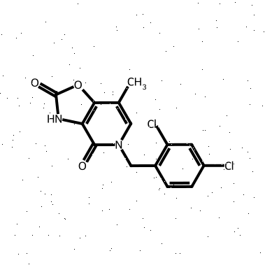 Cc1cn(Cc2ccc(Cl)cc2Cl)c(=O)c2[nH]c(=O)oc12